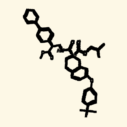 COC(=O)C(CNC(=O)[N+]1(C(=O)OCC(C)C)CCc2ccc(Oc3ccc(C(C)(C)C)cc3)cc2C1)c1ccc(-c2ccccc2)cc1